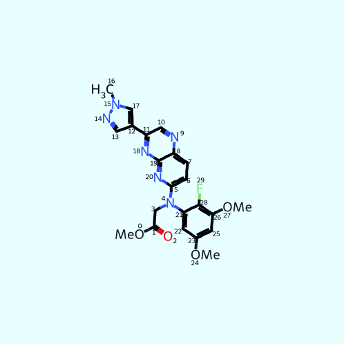 COC(=O)CN(c1ccc2ncc(-c3cnn(C)c3)nc2n1)c1cc(OC)cc(OC)c1F